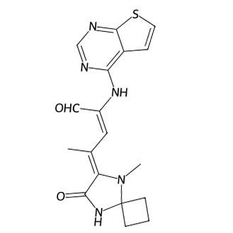 CC(/C=C(\C=O)Nc1ncnc2sccc12)=C1\C(=O)NC2(CCC2)N1C